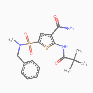 CN(Cc1ccccc1)S(=O)(=O)c1cc(C(N)=O)c(NC(=O)C(C)(C)C)s1